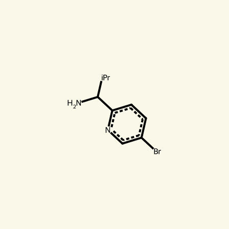 CC(C)C(N)c1ccc(Br)cn1